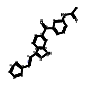 CC(=O)Nc1cccc(C(=O)c2ccc3c(/C=C/c4ccccc4)n[nH]c3c2)c1